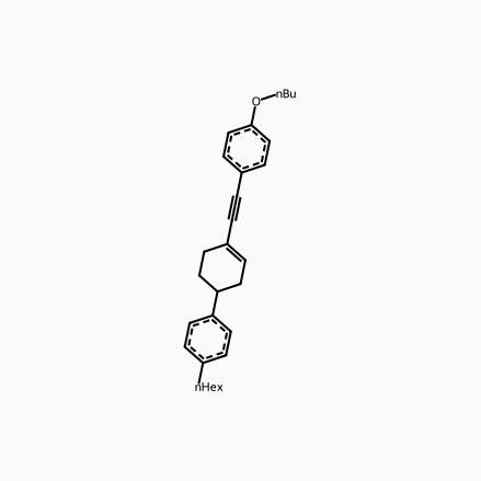 CCCCCCc1ccc(C2CC=C(C#Cc3ccc(OCCCC)cc3)CC2)cc1